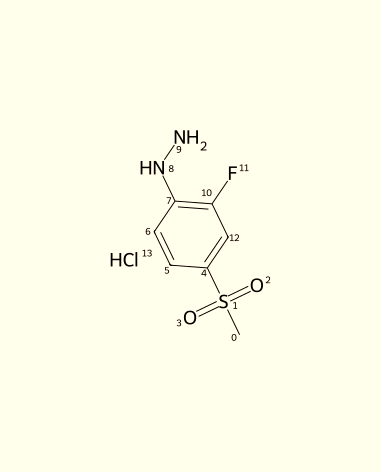 CS(=O)(=O)c1ccc(NN)c(F)c1.Cl